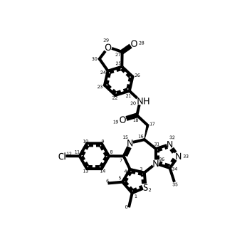 Cc1sc2c(c1C)C(c1ccc(Cl)cc1)=N[C@@H](CC(=O)Nc1ccc3c(c1)C(=O)OC3)c1nnc(C)n1-2